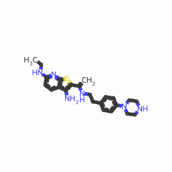 C=C(NCCc1ccc(N2CCNCC2)cc1)c1sc2nc(NCC)ccc2c1N